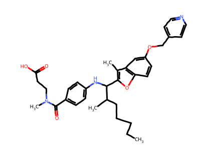 CCCCCC(C)C(Nc1ccc(C(=O)N(C)CCC(=O)O)cc1)c1oc2ccc(OCc3ccncc3)cc2c1C